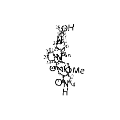 COc1cc(C)[nH]c(=O)c1CNC(=O)c1c(C)n([C@@H](C)C2CCN(CC(C)(C)O)CC2)c2ccccc12